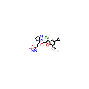 Cc1nnc(CCCC2(NC(=O)c3oc4c(C(F)(F)F)cc(C5CC5)cc4c3Br)CCCC2)o1